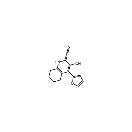 N#CC1=C(c2ccco2)C2=C(CCCC2)NC1=C=S